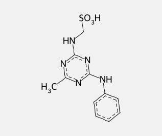 Cc1nc(NCS(=O)(=O)O)nc(Nc2ccccc2)n1